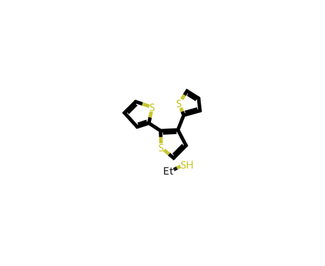 CCS.c1csc(-c2ccsc2-c2cccs2)c1